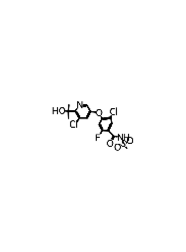 CC(C)(O)c1ncc(Oc2cc(F)c(C(=O)NS(C)(=O)=O)cc2Cl)cc1Cl